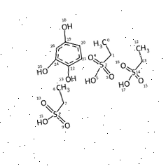 CCS(=O)(=O)O.CCS(=O)(=O)O.CCS(=O)(=O)O.Oc1ccc(O)c(O)c1